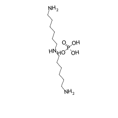 NCCCCCCNCCCCCCN.O=P(O)(O)O